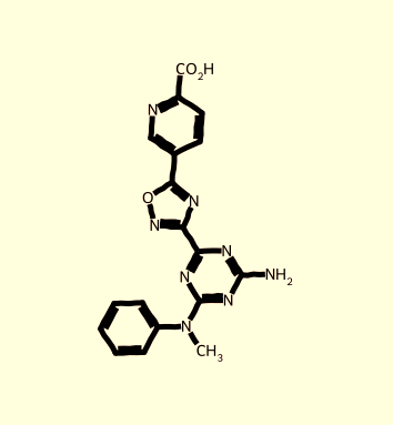 CN(c1ccccc1)c1nc(N)nc(-c2noc(-c3ccc(C(=O)O)nc3)n2)n1